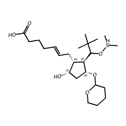 C[SiH](C)OC([C@@H]1[C@@H](CC=CCCCC(=O)O)[C@@H](O)C[C@H]1OC1CCCCO1)C(C)(C)C